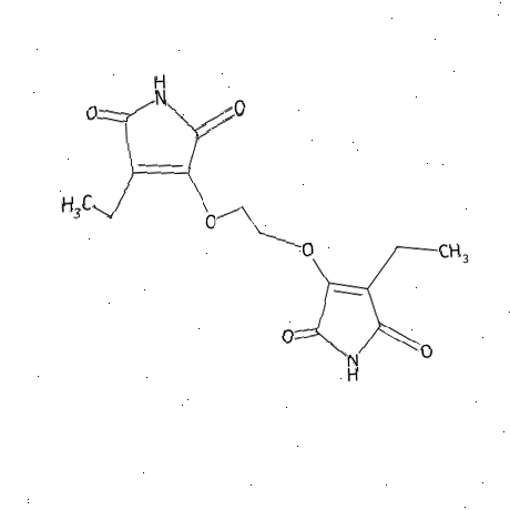 CCC1=C(OCCOC2=C(CC)C(=O)NC2=O)C(=O)NC1=O